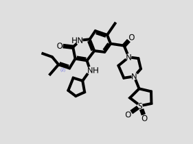 CC/C(C)=C\c1c(NC2CCCC2)c2cc(C(=O)N3CCN(C4CCS(=O)(=O)C4)CC3)c(C)cc2[nH]c1=O